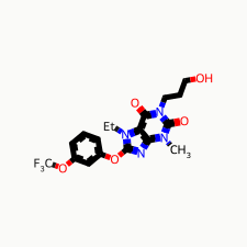 CCn1c(Oc2cccc(OC(F)(F)F)c2)nc2c1c(=O)n(CCCO)c(=O)n2C